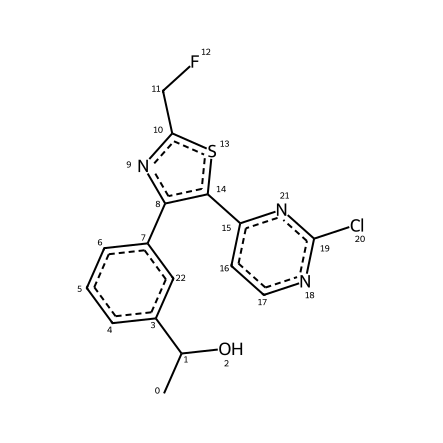 CC(O)c1cccc(-c2nc(CF)sc2-c2ccnc(Cl)n2)c1